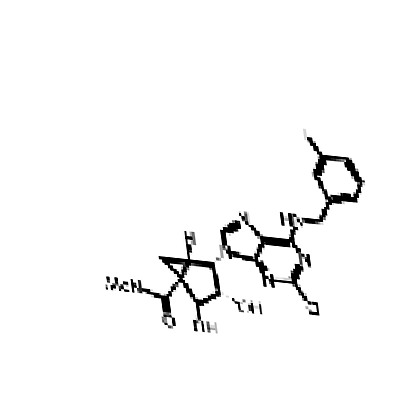 CNC(=O)[C@@]12C[C@@H]1[C@H](n1cnc3c(NCc4cccc(I)c4)nc(Cl)nc31)[C@H](O)[C@H]2O